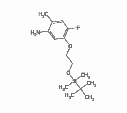 Cc1cc(F)c(OCCO[Si](C)(C)C(C)(C)C)cc1N